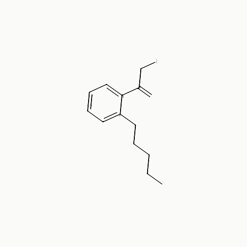 CCCCCc1ccccc1C(=O)CBr